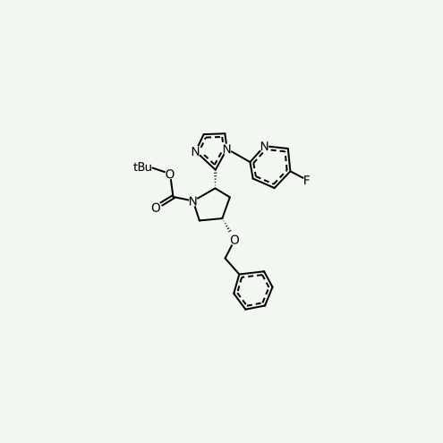 CC(C)(C)OC(=O)N1C[C@@H](OCc2ccccc2)C[C@H]1c1nccn1-c1ccc(F)cn1